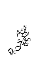 N#Cc1ncc(N2C(=O)C3(CCC3)N(C3=CCC(Oc4ccccn4)C=C3)C2=S)cc1C(F)(F)F